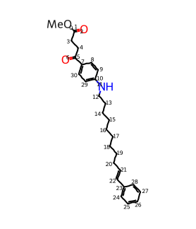 COC(=O)CCC(=O)c1ccc(NCCCCCCCCC/C=C/c2ccccc2)cc1